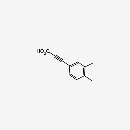 Cc1ccc(C#CC(=O)O)cc1C